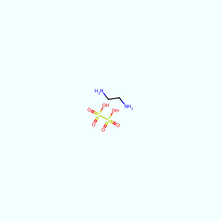 NCCN.O=S(=O)(O)S(=O)(=O)O